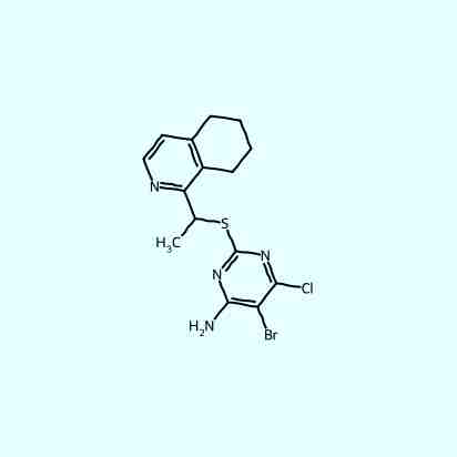 CC(Sc1nc(N)c(Br)c(Cl)n1)c1nccc2c1CCCC2